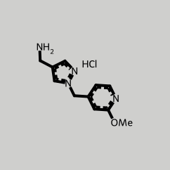 COc1cc(Cn2cc(CN)cn2)ccn1.Cl